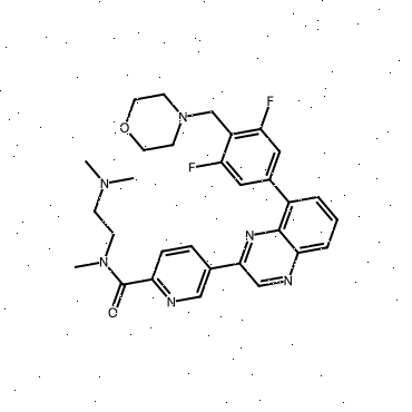 CN(C)CCN(C)C(=O)c1ccc(-c2cnc3cccc(-c4cc(F)c(CN5CCOCC5)c(F)c4)c3n2)cn1